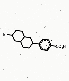 CCC1CCC2CC(c3ccc(C(=O)O)cc3)CCC2C1